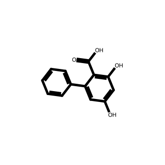 O=C(O)c1c(O)cc(O)cc1-c1ccccc1